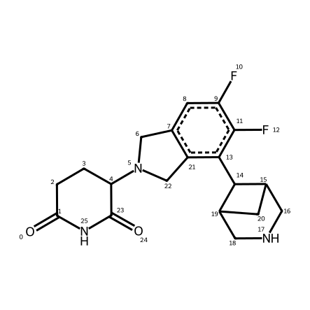 O=C1CCC(N2Cc3cc(F)c(F)c(C4C5CNCC4C5)c3C2)C(=O)N1